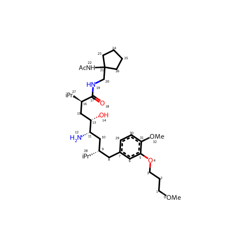 COCCCOc1cc(C[C@@H](C[C@H](N)[C@@H](O)C[C@H](C(=O)NCC2(NC(C)=O)CCCC2)C(C)C)C(C)C)ccc1OC